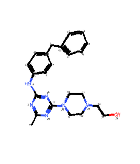 Cc1nc(Nc2ccc(Cc3ccccc3)cc2)nc(N2CCN(CCO)CC2)n1